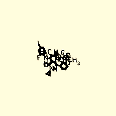 Cc1c(Nc2ccc(I)cc2F)c2c(=O)n(C3CC3)nc(-c3cccc(N(C)[S@](C)(=N)=O)c3)c2n(C)c1=O